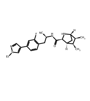 CCn1cc(-c2ccc(C[C@@H](C#N)NC(=O)[C@H]3N[C@H]4C[C@H]3[C@H](C)[C@@H]4C)c(F)c2)cn1